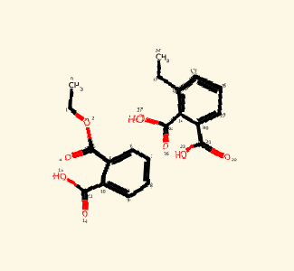 CCOC(=O)c1ccccc1C(=O)O.CCc1cccc(C(=O)O)c1C(=O)O